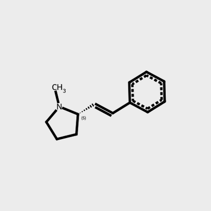 CN1CCC[C@H]1C=Cc1ccccc1